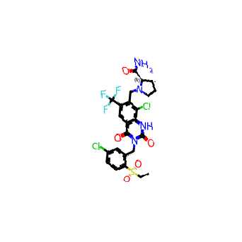 CCS(=O)(=O)c1ccc(Cl)cc1Cn1c(=O)[nH]c2c(Cl)c(CN3CC[CH][C@@H]3C(N)=O)c(C(F)(F)F)cc2c1=O